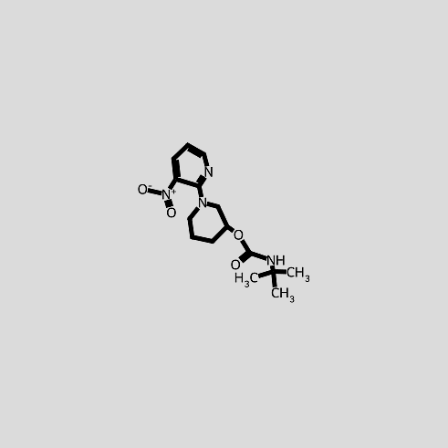 CC(C)(C)NC(=O)OC1CCCN(c2ncccc2[N+](=O)[O-])C1